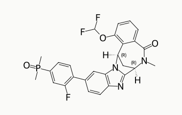 CN1C(=O)c2cccc(OC(F)F)c2[C@H]2C[C@@H]1c1nc3ccc(-c4ccc(P(C)(C)=O)cc4F)cc3n12